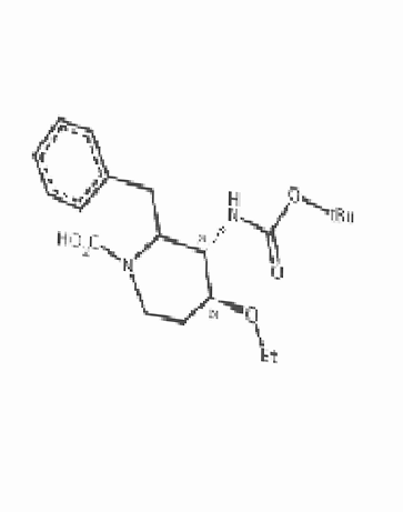 CCO[C@H]1CCN(C(=O)O)C(Cc2ccccc2)[C@@H]1NC(=O)OC(C)(C)C